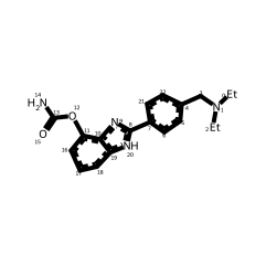 CCN(CC)Cc1ccc(-c2nc3c(OC(N)=O)cccc3[nH]2)cc1